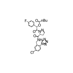 CCCCC(=O)OC(C(=O)N1N=CC[C@H]1C(=O)NCc1cc(Cl)ccc1-n1cnnn1)c1ccc(F)cc1